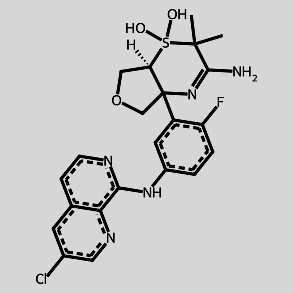 CC1(C)C(N)=NC2(c3cc(Nc4nccc5cc(Cl)cnc45)ccc3F)COC[C@H]2S1(O)O